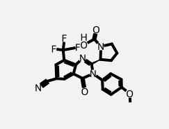 COc1ccc(-n2c([C@@H]3CCCN3C(=O)O)nc3c(C(F)(F)F)cc(C#N)cc3c2=O)cc1